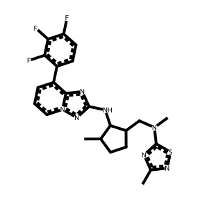 Cc1nsc(N(C)CC2CCC(C)C2Nc2nc3c(-c4ccc(F)c(F)c4F)cccn3n2)n1